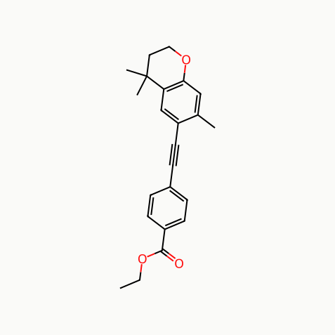 CCOC(=O)c1ccc(C#Cc2cc3c(cc2C)OCCC3(C)C)cc1